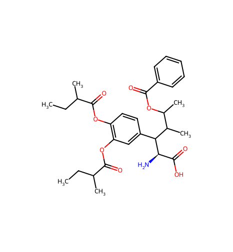 CCC(C)C(=O)Oc1ccc(C(C(C)C(C)OC(=O)c2ccccc2)[C@H](N)C(=O)O)cc1OC(=O)C(C)CC